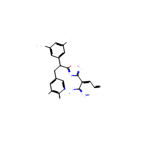 C=C/C=C(\C(=N/C)NC)c1noc(C(Cc2ccc(C)c(C)c2)c2cc(C)cc(C)c2)n1